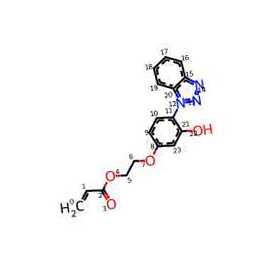 C=CC(=O)OCCOc1ccc(-n2nnc3ccccc32)c(O)c1